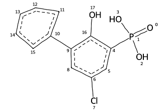 O=P(O)(O)c1cc(Cl)cc(-c2ccccc2)c1O